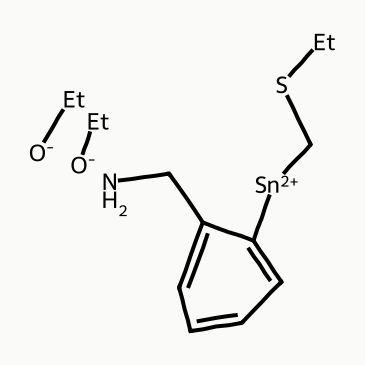 CCS[CH2][Sn+2][c]1ccccc1CN.CC[O-].CC[O-]